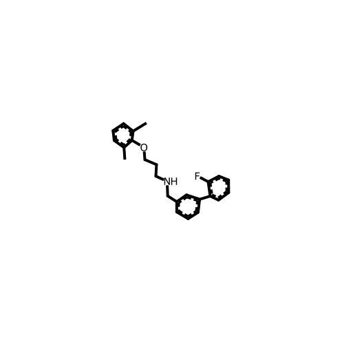 Cc1cccc(C)c1OCCCNCc1cccc(-c2ccccc2F)c1